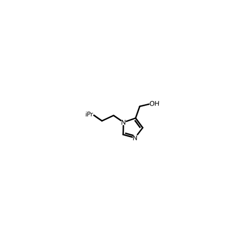 CC(C)CCn1cncc1CO